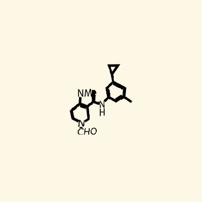 C=C(Nc1cc(C)cc(C2CC2)c1)C1=C(NC)CCN(C=O)C1